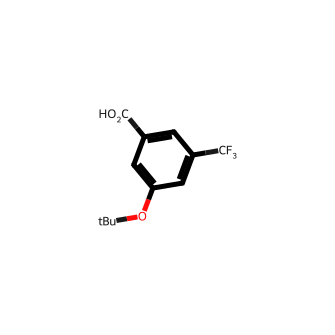 CC(C)(C)Oc1cc(C(=O)O)cc(C(F)(F)F)c1